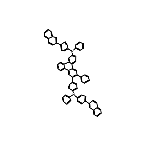 c1ccc(-c2cc3c4ccc(N(c5ccccc5)c5ccc(-c6ccc7ccccc7c6)cc5)cc4c4ccccc4c3cc2-c2ccc(N(c3ccccc3)c3ccc(-c4ccc5ccccc5c4)cc3)cc2)cc1